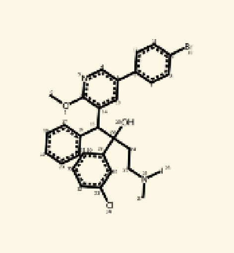 COc1ncc(-c2ccc(Br)cc2)cc1C(c1ccccc1)C(O)(CCN(C)I)c1cccc(Cl)c1